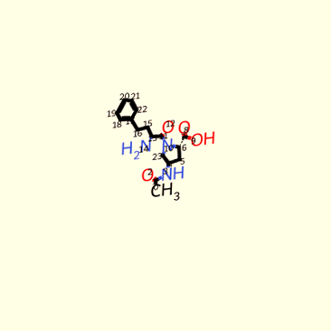 CC(=O)NC1C[C@@H](C(=O)O)N(C(=O)C(N)CCc2ccccc2)C1